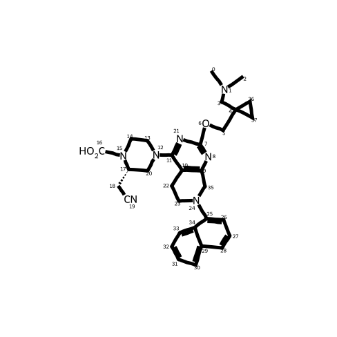 CN(C)CC1(COc2nc3c(c(N4CCN(C(=O)O)[C@@H](CC#N)C4)n2)CCN(c2cccc4ccccc24)C3)CC1